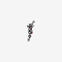 COOCc1ccc(C2=CC[C@]3(C)[C@H]4CC[C@@H]5[C@H]6[C@H](C(C)C)CC[C@]6(C(=O)NCCN(C)C)CC[C@@]5(C)[C@]4(C)CC[C@H]3C2(C)C)cc1